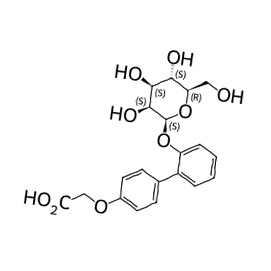 O=C(O)COc1ccc(-c2ccccc2O[C@@H]2O[C@H](CO)[C@@H](O)[C@H](O)[C@@H]2O)cc1